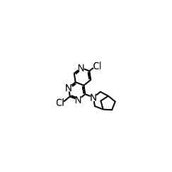 Clc1cc2c(N3CC4CCC(C4)C3)nc(Cl)nc2cn1